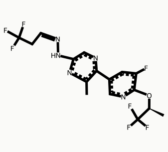 Cc1nc(N/N=C\CC(F)(F)F)cnc1-c1cnc(O[C@@H](C)C(F)(F)F)c(F)c1